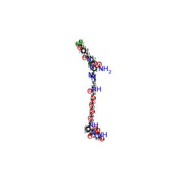 NC(=O)c1cc(-c2cn(CCCCNC(=O)CCOCCOCCOCCOCCNc3cccc4c3C(=O)N(C3CCC(=O)NC3=O)C4=O)cn2)cnc1O[C@@H]1CCN(C(=O)Cc2ccc(OC(F)(F)F)cc2)C[C@H]1F